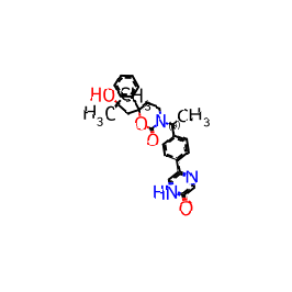 C[C@@H](c1ccc(-c2c[nH]c(=O)cn2)cc1)N1CCC(CC(C)(C)O)(c2ccccc2)OC1=O